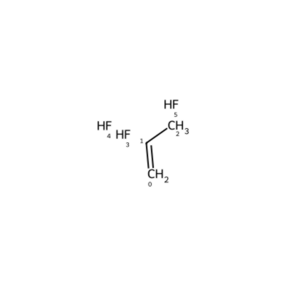 C=CC.F.F.F